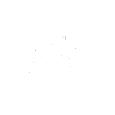 COc1c(S(=O)(=O)Cl)cccc1S(=O)(=O)Cl